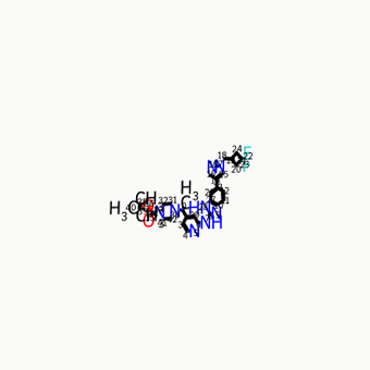 CC(c1ccnc(Nc2nc3ccc(-c4cnn(CC5CC(F)(F)C5)c4)cc3[nH]2)c1)N1CCN(C(=O)OC(C)(C)C)CC1